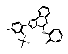 O=c1nccccc1Nc1nc2ccccc2c2nc(-c3ccc(F)cc3OC(F)(F)F)nn12